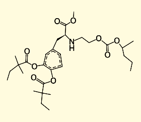 CCCC(C)OC(=O)OCCN[C@@H](Cc1ccc(OC(=O)C(C)(C)CC)c(OC(=O)C(C)(C)CC)c1)C(=O)OC